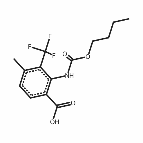 CCCCOC(=O)Nc1c(C(=O)O)ccc(C)c1C(F)(F)F